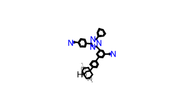 C[C@@H]1C[C@@H]2C[C@H](C)CC(c3ccc(-c4cc(C#N)cc(-c5nc(-c6ccccc6)nc(-c6ccc(C#N)cc6)n5)c4)cc3)(C1)C2